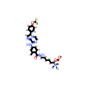 Cc1cc(Nc2nccn3c(-c4ccc(OC(F)F)cc4)cnc23)ccc1C(=O)NCCCCCC(OC=O)[N+](C)(C)C